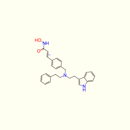 O=C(/C=C/c1ccc(CN(CCc2ccccc2)CCc2c[nH]c3ccccc23)cc1)NO